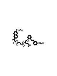 COc1cccc(CCc2ccccc2OCC(CCN(C)C)OC(=O)CCC(=O)OC(=O)C(C)c2ccc3cc(OC)ccc3c2)c1